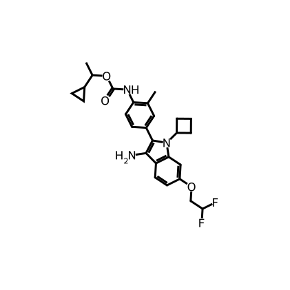 Cc1cc(-c2c(N)c3ccc(OCC(F)F)cc3n2C2CCC2)ccc1NC(=O)OC(C)C1CC1